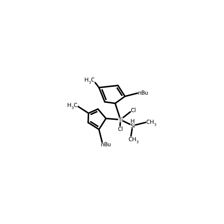 CCCCC1=CC(C)=C[CH]1[Ti]([Cl])([Cl])([CH]1C=C(C)C=C1CCCC)[SiH](C)C